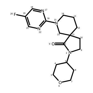 O=C1N(C2CCOCC2)CCC12CCCN(c1ncc(F)cn1)C2